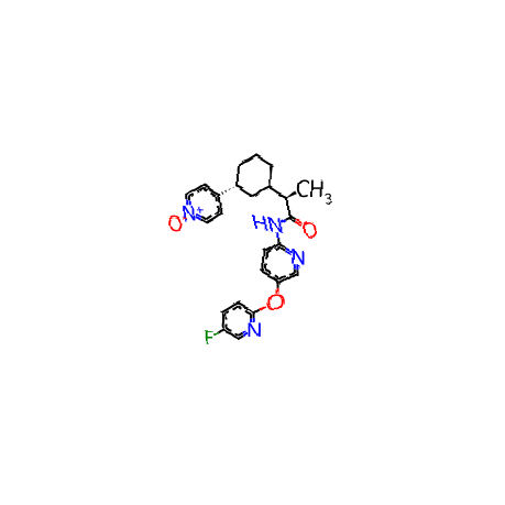 C[C@@H](C(=O)Nc1ccc(Oc2ccc(F)cn2)cn1)[C@@H]1CCC[C@@H](c2cc[n+]([O-])cc2)C1